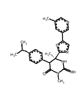 Cc1cncc(-c2cnc([C@@]3(C)NC(=N)N(C)C(=O)C3c3ccc(C(C)C)cc3)s2)c1